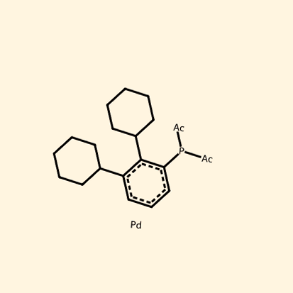 CC(=O)P(C(C)=O)c1cccc(C2CCCCC2)c1C1CCCCC1.[Pd]